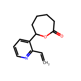 C=Cc1ncccc1C1CCCCC(=O)O1